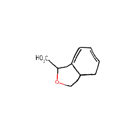 O=C(O)C1OCC2CC=CC=C21